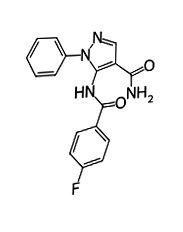 NC(=O)c1cnn(-c2ccccc2)c1NC(=O)c1ccc(F)cc1